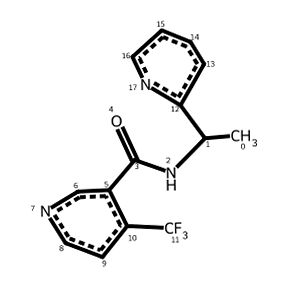 CC(NC(=O)c1cnccc1C(F)(F)F)c1ccccn1